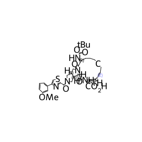 COc1cccc(-c2csc(C(=O)N3C[C@H]4CN5C(=O)[C@H](NC(=O)OC(C)(C)C)CCCCC/C=C\[C@@H]6C[C@@]6(C(=O)O)NC(=O)[C@@H]5[C@H]4C3)n2)c1